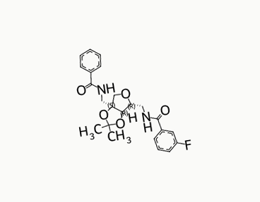 CC1(C)O[C@@H]2[C@@H](CNC(=O)c3cccc(F)c3)OC[C@]2(CNC(=O)c2ccccc2)O1